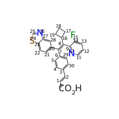 O=C(O)C=Cc1ccc(C(=C(c2ncccc2F)C2CCC2)c2ccc3scnc3c2)cc1